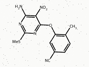 CSc1nc(N)c([N+](=O)[O-])c(Oc2cc(C#N)ccc2C)n1